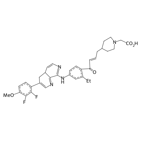 CCc1cc(NC2=NC=CC3CC(c4ccc(OC)c(F)c4F)=CN=C23)ccc1C(=O)/C=C/CC1CCN(CC(=O)O)CC1